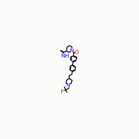 C=C(N)C1CCCN(C(=O)c2ccc(-c3ccc(CCC4CCN(CC(C)(C)F)CC4)cc3)cc2)C1